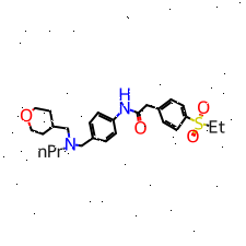 CCCN(Cc1ccc(NC(=O)Cc2ccc(S(=O)(=O)CC)cc2)cc1)CC1CCOCC1